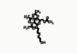 CC(=O)OC[C@H]1O[C@@H](OCCSSCCO)[C@H](OC(C)=O)[C@@H](OC(C)=O)[C@@H]1OC(C)=O